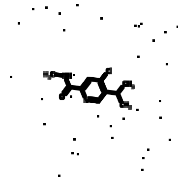 CNC(=O)c1cc(Cl)c(C(C)C)cn1